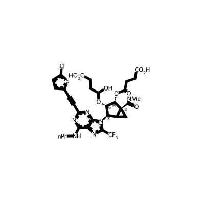 CCCNc1nc(C#Cc2ccc(Cl)s2)nc2c1nc(C(F)(F)F)n2[C@@H]1C2C[C@@]2(C(=O)NC)[C@@H](OC(=O)CCC(=O)O)[C@H]1OC(O)CCC(=O)O